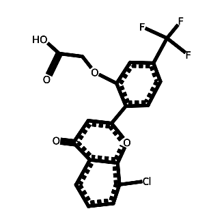 O=C(O)COc1cc(C(F)(F)F)ccc1-c1cc(=O)c2cccc(Cl)c2o1